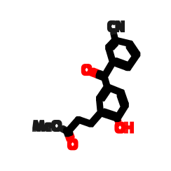 COC(=O)CCc1cc(C(=O)c2cccc(C#N)c2)ccc1O